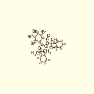 CC(C)(OC(=O)c1c(Br)c(Br)c(Br)c(Br)c1C(=O)OC(C)(C)c1ccccc1)c1ccccc1